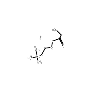 CCC(=O)SOCC[N+](C)(C)C.[I-]